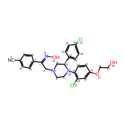 N#Cc1ccc(/C(CN2CCN(c3ccc(OCCO)cc3Cl)[C@H](c3ccc(Cl)cc3)C2)=N/O)cc1